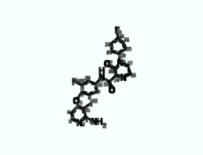 Nc1nccc(Oc2ccc(NC(=O)c3nccn(-c4ccc(F)cc4)c3=O)cc2F)c1I